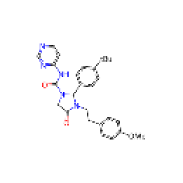 COc1ccc(CCN2C(=O)CN(C(=O)Nc3ccncn3)C2c2ccc(C(C)(C)C)cc2)cc1